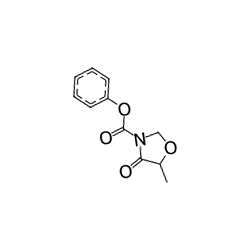 CC1OCN(C(=O)Oc2ccccc2)C1=O